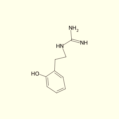 N=C(N)NCCc1ccccc1O